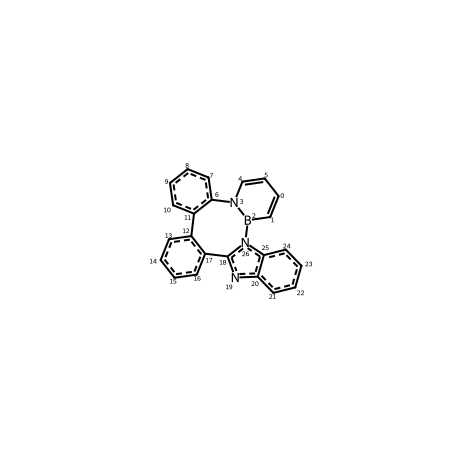 C1=CB2N(C=C1)c1ccccc1-c1ccccc1-c1nc3ccccc3n12